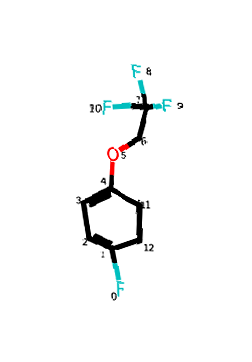 FC1=CC=C(OCC(F)(F)F)[CH]C1